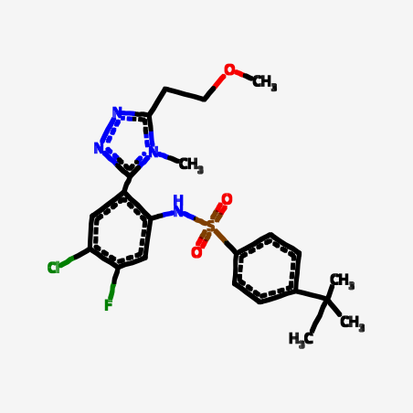 COCCc1nnc(-c2cc(Cl)c(F)cc2NS(=O)(=O)c2ccc(C(C)(C)C)cc2)n1C